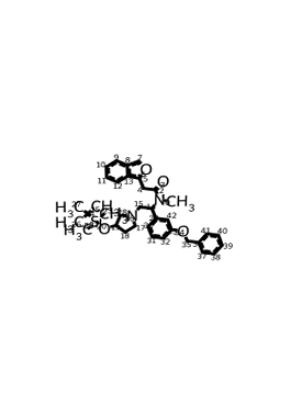 CN(C(=O)Cc1occ2ccccc12)C(CN1CCC(O[Si](C)(C)C(C)(C)C)C1)c1cccc(OCc2ccccc2)c1